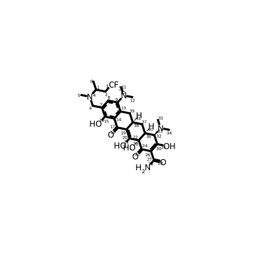 CC(CC(F)(F)F)N(C)Cc1cc(N(C)C)c2c(c1O)C(=O)C1=C(O)[C@]3(O)C(=O)C(C(N)=O)=C(O)[C@H](N(C)C)[C@@H]3C[C@@H]1C2